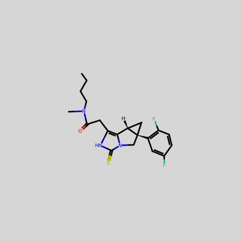 CCCCN(C)C(=O)Cc1[nH]c(=S)n2c1[C@@H]1C[C@]1(c1cc(F)ccc1F)C2